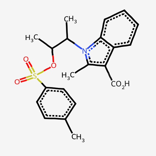 Cc1ccc(S(=O)(=O)OC(C)C(C)n2c(C)c(C(=O)O)c3ccccc32)cc1